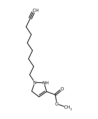 C#CCCCCCCCN1CC=C(C(=O)OC)N1